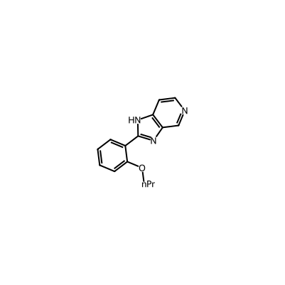 CCCOc1ccccc1-c1nc2cnccc2[nH]1